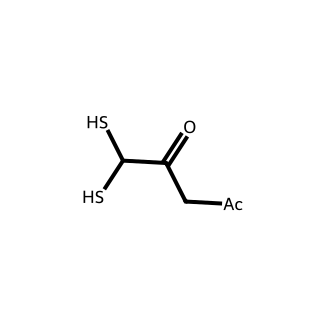 CC(=O)CC(=O)C(S)S